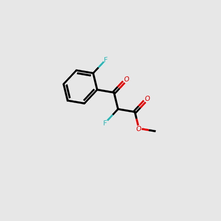 COC(=O)C(F)C(=O)c1ccccc1F